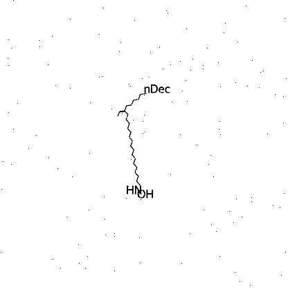 CC=C(CCCCCCCCCCCCCCCC)CCCCCCCCCCCCCCCCCNO